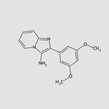 COc1cc(OC)cc(-c2nc3ccccn3c2N)c1